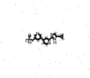 O=[SH](=O)Cc1cncc(-c2ccnc(-c3ncc(C4CC4)[nH]3)c2)c1